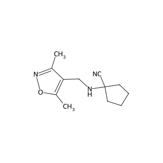 Cc1noc(C)c1CNC1(C#N)CCCC1